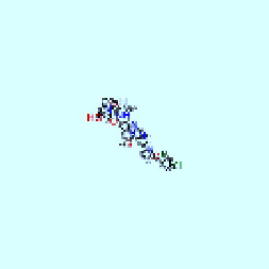 CSC(C)(NC(=O)c1ccc2c(c1)nc(CN1CCC(c3cccc(OCc4ccc(Cl)cc4F)n3)CC1)n2C[C@@H]1CCO1)C(=O)N1C[C@H](O)C[C@H]1C(=O)O